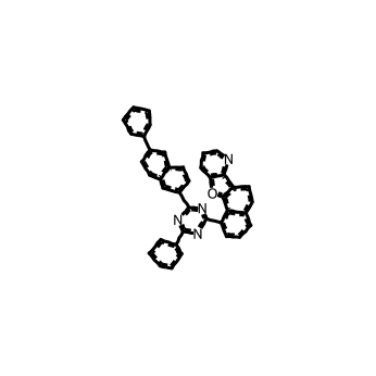 c1ccc(-c2ccc3cc(-c4nc(-c5ccccc5)nc(-c5cccc6ccc7c8ncccc8oc7c56)n4)ccc3c2)cc1